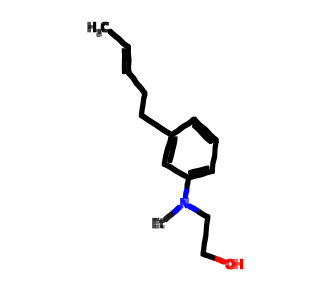 CC=CCCc1cccc(N(CC)CCO)c1